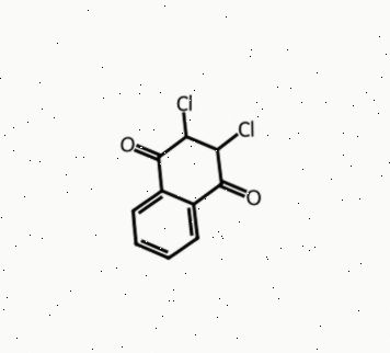 O=C1c2ccccc2C(=O)C(Cl)C1Cl